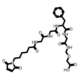 O=C(O)COCNC(=O)CNC(=O)C(Cc1ccccc1)NC(=O)CNC(=O)CNC(=O)CCCCCN1C(=O)C=CC1=O